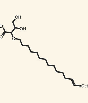 CCCCCCCCC=CCCCCCCCCCCCCOC(C(=O)CC)C(O)CO